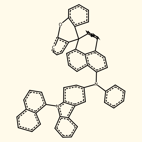 c1ccc(N(c2ccc3c(c2)c2ccccc2n3-c2cccc3ccccc23)c2ccc3c4c(cccc24)C2(c4ccccc4Oc4ccccc42)c2ccccc2-3)cc1